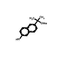 CCCc1ccc2cc(C(C)(C)OC)ccc2c1